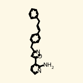 Nc1ncccc1-c1cc(Cc2ccc(/C=C/Cc3ccccc3)cc2)no1